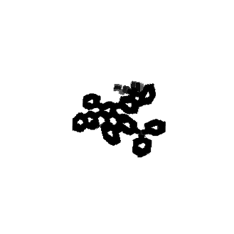 CC1(C)c2ccccc2-c2ccc(-c3cc(-c4ccccc4)c(-c4ccc5c(c4)CCC=C5)c4c5ccccc5c5cc(N(C6=CC=CCC6)c6ccccc6)ccc5c34)cc21